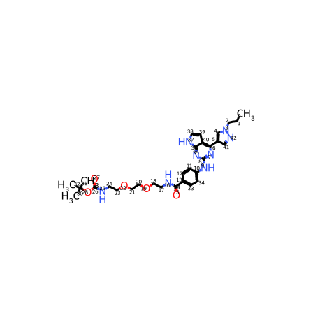 CCCn1cc(-c2nc(Nc3ccc(C(=O)NCCOCCOCCNC(=O)OC(C)(C)C)cc3)nc3[nH]ccc23)cn1